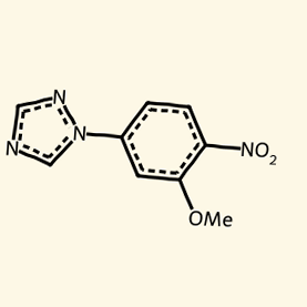 COc1cc(-n2cncn2)ccc1[N+](=O)[O-]